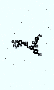 CCc1ccc(-c2cn(CCCNc3ccc([N+](=O)[O-])c(N)n3)cc2NC(=O)Cn2ccc(C(C)=O)c2)cc1